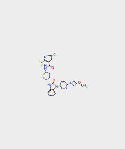 COC1CN(c2ccc(-n3c(=O)n(C[C@H]4CC[C@H](NC(=O)c5cc(Cl)cnc5C(F)F)CC4)c4ccccc43)cn2)C1